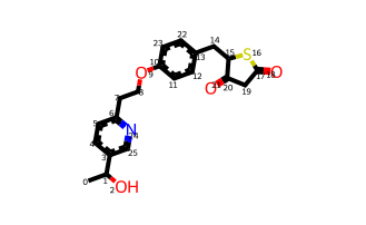 CC(O)c1ccc(CCOc2ccc(CC3SC(=O)CC3=O)cc2)nc1